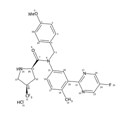 COc1ccc(CN(C(=O)[C@H]2C[C@@H](C(F)(F)F)CN2)c2ccc(C)c(-c3ncc(F)cn3)c2)cc1.Cl